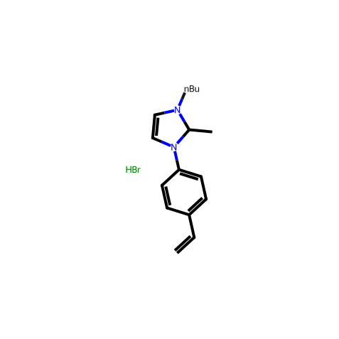 Br.C=Cc1ccc(N2C=CN(CCCC)C2C)cc1